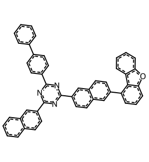 c1ccc(-c2ccc(-c3nc(-c4ccc5ccccc5c4)nc(-c4ccc5cc(-c6cccc7oc8ccccc8c67)ccc5c4)n3)cc2)cc1